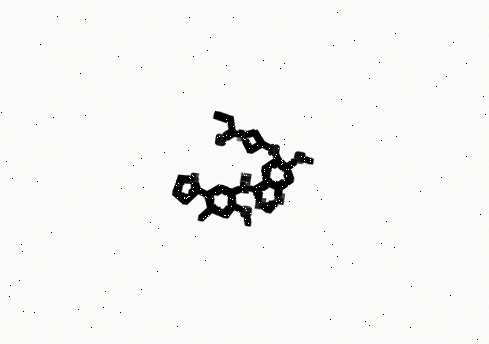 C=CC(=O)N1CC(Oc2cc3c(Nc4cc(-c5cccs5)c(C)cc4OC)ncnc3cc2OC)C1